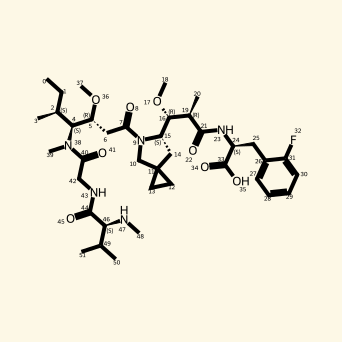 CC[C@H](C)[C@@H]([C@@H](CC(=O)N1CC2(CC2)C[C@H]1[C@H](OC)[C@@H](C)C(=O)N[C@@H](Cc1ccccc1F)C(=O)O)OC)N(C)C(=O)CNC(=O)[C@@H](NC)C(C)C